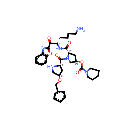 NCCCC[C@H](NC(=O)[C@@H]1C[C@@H](OC(=O)N2CCCCC2)CN1C(=O)[C@H]1C[C@@H](OCc2ccccc2)CN1)C(=O)c1nc2ccccc2o1